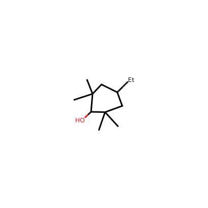 CCC1CC(C)(C)C(O)C(C)(C)C1